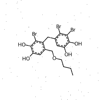 CCCCOCc1cc(O)c(O)c(Br)c1Cc1cc(O)c(O)c(Br)c1Br